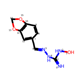 N=C(NO)N/N=C/c1ccc2c(c1)OCO2